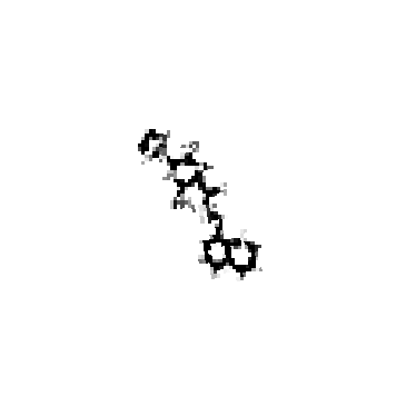 Nc1nc(-n2nccn2)c(Cl)nc1C(=O)NCc1cccc2cccnc12